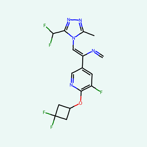 C=N/C(=C\n1c(C)nnc1C(F)F)c1cnc(OC2CC(F)(F)C2)c(F)c1